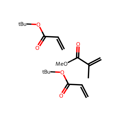 C=C(C)C(=O)OC.C=CC(=O)OC(C)(C)C.C=CC(=O)OC(C)(C)C